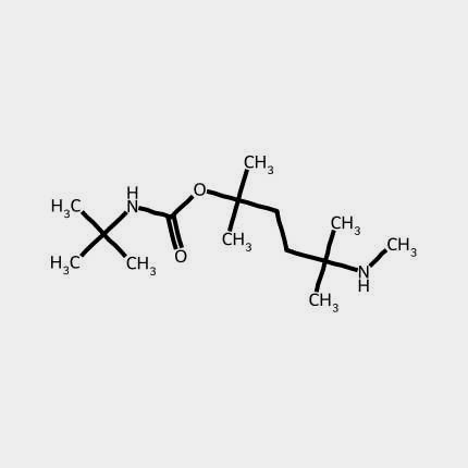 CNC(C)(C)CCC(C)(C)OC(=O)NC(C)(C)C